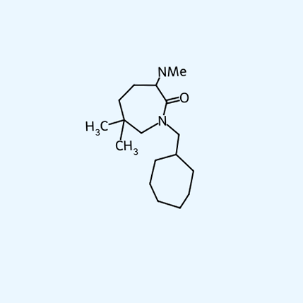 CNC1CCC(C)(C)CN(CC2CCCCCC2)C1=O